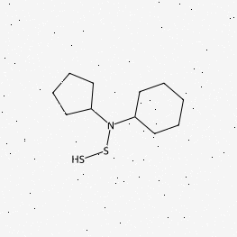 SSN(C1CCCCC1)C1CCCC1